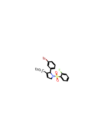 CCOC(=O)C1=CCN(S(=O)(=O)c2ccccc2F)C1c1cccc(Br)c1